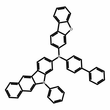 c1ccc(-c2ccc(N(c3ccc4c(c3)oc3ccccc34)c3ccc4c5cc6ccccc6cc5n(-c5ccccc5)c4c3)cc2)cc1